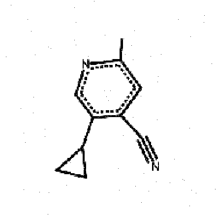 Cc1cc(C#N)c(C2CC2)cn1